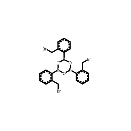 BrCc1ccccc1B1OB(c2ccccc2CBr)OB(c2ccccc2CBr)O1